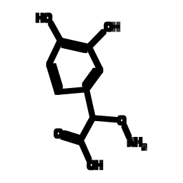 NOC(C(=O)O)c1ccc(O)c(O)c1